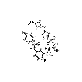 COC1CC(CN2CC[C@H](S(=O)(=O)N(C)C(=N)N[C@H](C)c3cc(NC(=O)c4ccc(F)cn4)ccc3F)C2)C1